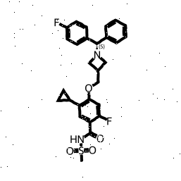 CS(=O)(=O)NC(=O)c1cc(C2CC2)c(OCC2CN([C@@H](c3ccccc3)c3ccc(F)cc3)C2)cc1F